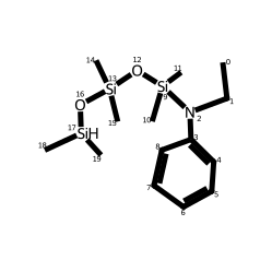 CCN(c1ccccc1)[Si](C)(C)O[Si](C)(C)O[SiH](C)C